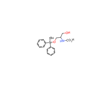 CC(C)(C)[Si](OCC(CO)NC(=O)O)(c1ccccc1)c1ccccc1